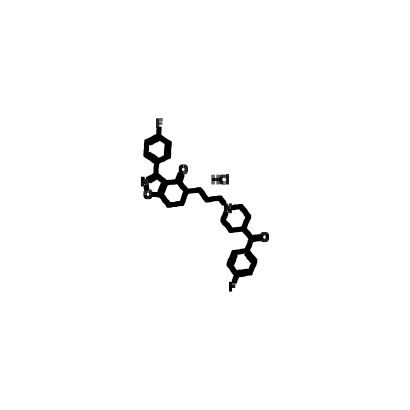 Cl.O=C(c1ccc(F)cc1)C1CCN(CCCC2CCc3onc(-c4ccc(F)cc4)c3C2=O)CC1